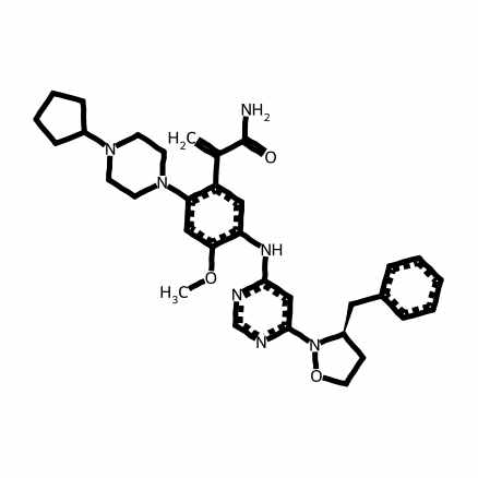 C=C(C(N)=O)c1cc(Nc2cc(N3OCC[C@@H]3Cc3ccccc3)ncn2)c(OC)cc1N1CCN(C2CCCC2)CC1